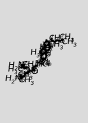 CC(C)CCCC(C)[C@H]1CC[C@H]2[C@@H]3CC=C4C[C@@H](SSCCC(=O)N(CCCC(C)(C)N)CCC(C)(C)N)CC[C@]4(C)[C@H]3CC[C@]12C.Cl.Cl